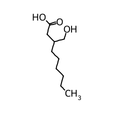 CCCCCCC(CO)CC(=O)O